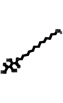 CCCCCCCCCCCCCCOC(=O)C(O)C(O)C(=O)O